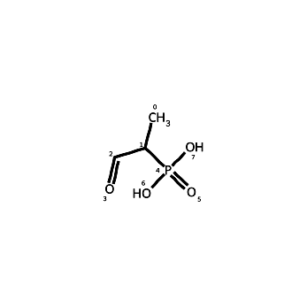 CC(C=O)P(=O)(O)O